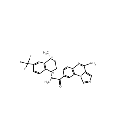 C[C@@H]1OC[C@H](N(C)C(=O)c2ccc3nc(N)c4cncn4c3c2)c2ccc(C(F)(F)F)cc21